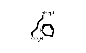 C1=CCCN=C1.CCCCCCCCCCCC(=O)O